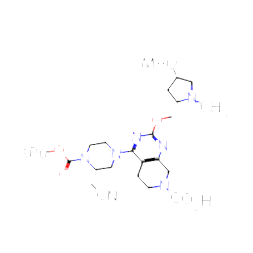 CO[C@@H]1C[C@@H](COc2nc3c(c(N4CCN(C(=O)OC(C)(C)C)[C@@H](CC#N)C4)n2)CCN(C(=O)O)C3)N(C)C1